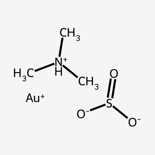 C[NH+](C)C.O=S([O-])[O-].[Au+]